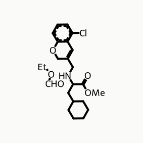 CCOC=O.COC(=O)C(CC1CCCCC1)NCC1=Cc2c(Cl)cccc2OC1